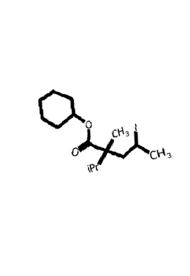 CC(I)CC(C)(C(=O)OC1CCCCC1)C(C)C